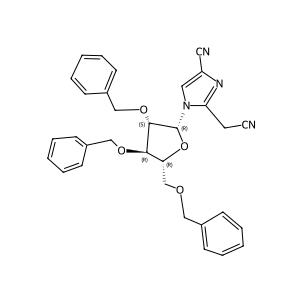 N#CCc1nc(C#N)cn1[C@@H]1O[C@H](COCc2ccccc2)[C@@H](OCc2ccccc2)[C@@H]1OCc1ccccc1